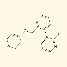 Fc1ncccc1-c1ccccc1COC1=CC[CH]C=C1